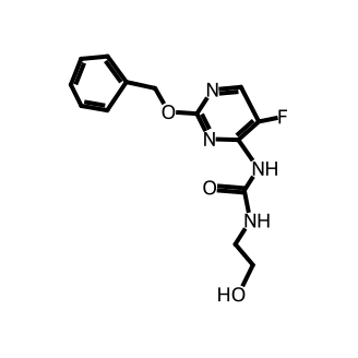 O=C(NCCO)Nc1nc(OCc2ccccc2)ncc1F